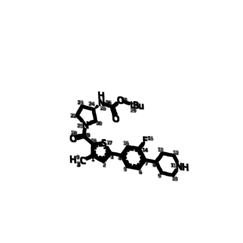 Cc1cc(-c2ccc(C3CCNCC3)c(F)c2)sc1C(=O)N1CC[C@H](NC(=O)OC(C)(C)C)C1